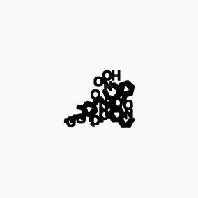 COCOc1cc2cccnc2cc1C(=O)[C@@]1(OC(=O)c2ccccc2)CCCN(C(=O)O)C[C@H]1NC(=O)c1cc(C)c(OCOC)c(C)c1